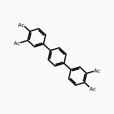 CC(=O)c1ccc(-c2ccc(-c3ccc(C(C)=O)c(C(C)=O)c3)cc2)cc1C(C)=O